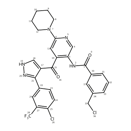 O=C(Nc1cnc(N2CCCCC2)cc1C(=O)c1c[nH]nc1-c1ccc(Cl)c(C(F)(F)F)c1)c1cccc(CCl)c1